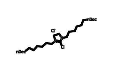 CCCCCCCCCCCCCCCCN1CC[N+](CCCCCCCCCCCCCCCC)=C1Cl.[Cl-]